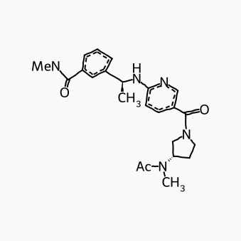 CNC(=O)c1cccc([C@H](C)Nc2ccc(C(=O)N3CC[C@H](N(C)C(C)=O)C3)cn2)c1